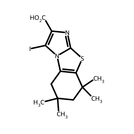 CC1(C)Cc2c(sc3nc(C(=O)O)c(I)n23)C(C)(C)C1